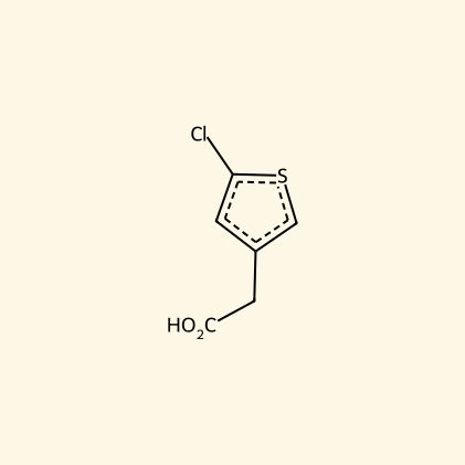 O=C(O)Cc1csc(Cl)c1